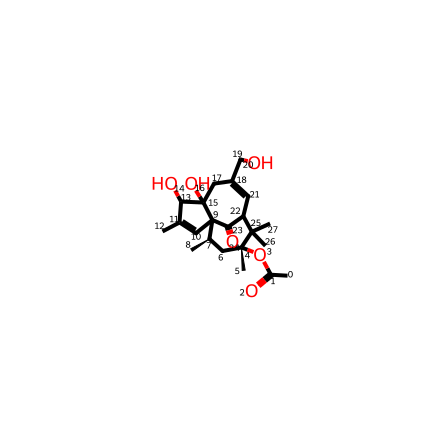 CC(=O)O[C@]1(C)C[C@@H](C)C23C=C(C)C(O)C2(O)CC(CO)=CC(C3=O)C1(C)C